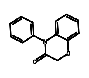 O=C1COc2ccccc2N1c1ccccc1